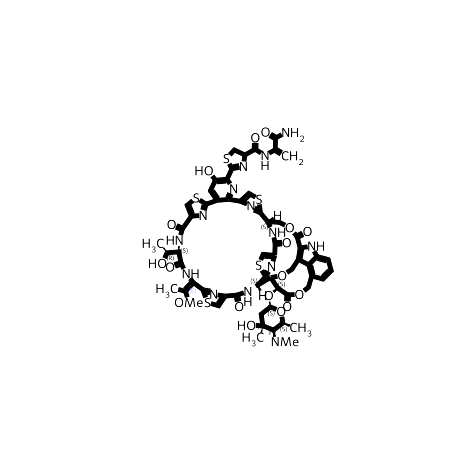 C=C(NC(=O)C1CSC(c2nc3c(cc2O)-c2nc(cs2)C(=O)N[C@@H]([C@@H](C)O)C(=O)N/C(=C(\C)OC)c2nc(cs2)C(=O)N[C@@H]2c4nc(cs4)C(=O)N[C@@H](COC(=O)c4[nH]c5cccc6c5c4COC2[C@H](O[C@H]2C[C@](C)(O)[C@H](NC)[C@H](C)O2)C(=O)OC6)c2nc-3cs2)=N1)C(N)=O